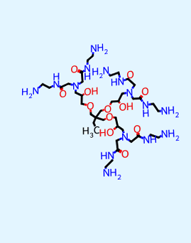 CCC(COCC(O)CN(CC(=O)NCCN)CC(=O)NCCN)(COCC(O)CN(CC(=O)NCCN)CC(=O)NCCN)COCC(O)CN(CC(=O)NCCN)CC(=O)NCCN